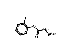 CCCCCCNC(=O)Oc1ccccc1C